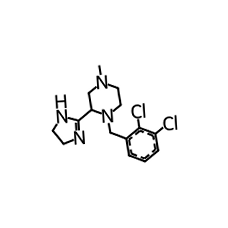 CN1CCN(Cc2cccc(Cl)c2Cl)C(C2=NCCN2)C1